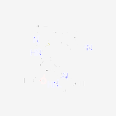 COc1cc(Nc2nc(C)c(Cc3ccc(C#N)cc3)s2)ccc1-c1nc(C)c[nH]1